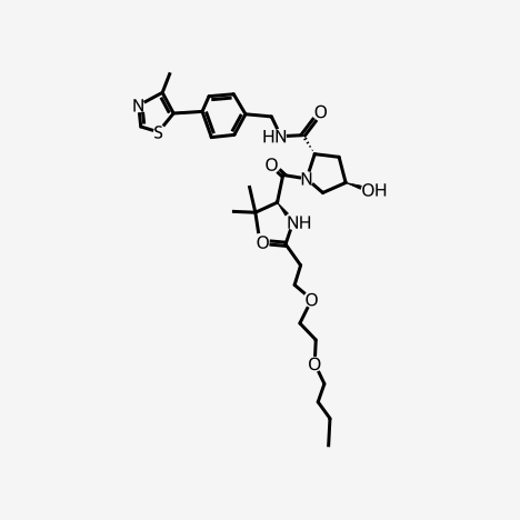 CCCCOCCOCCC(=O)N[C@H](C(=O)N1C[C@H](O)C[C@H]1C(=O)NCc1ccc(-c2scnc2C)cc1)C(C)(C)C